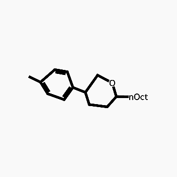 CCCCCCCCC1CCC(c2ccc(C)cc2)CO1